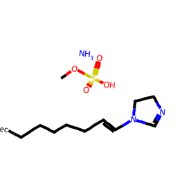 CCCCCCCCCCCCCCCC=CN1C=NCC1.COS(=O)(=O)O.N